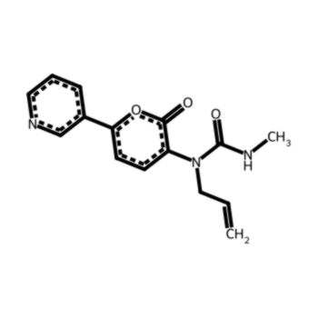 C=CCN(C(=O)NC)c1ccc(-c2cccnc2)oc1=O